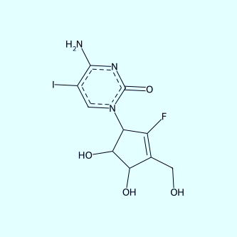 Nc1nc(=O)n(C2C(F)=C(CO)C(O)C2O)cc1I